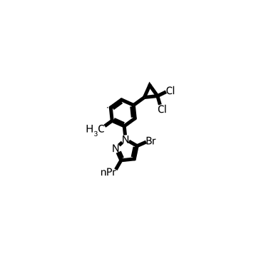 CCCc1cc(Br)n(-c2cc(C3CC3(Cl)Cl)c[c]c2C)n1